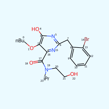 CCCCOc1c(O)nc(Cc2ccccc2Br)nc1C(=O)N(CCO)C(C)C